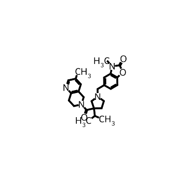 Cc1cnc2c(c1)CN(C(=O)C1(C(C)C)CCN(Cc3ccc4oc(=O)n(C)c4c3)C1)CC2